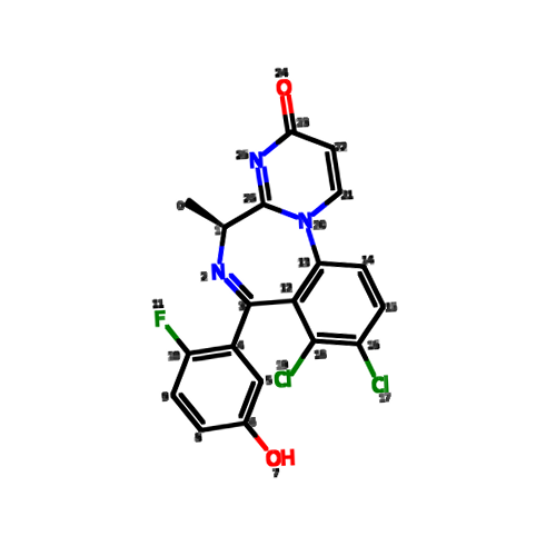 C[C@@H]1N=C(c2cc(O)ccc2F)c2c(ccc(Cl)c2Cl)-n2ccc(=O)nc21